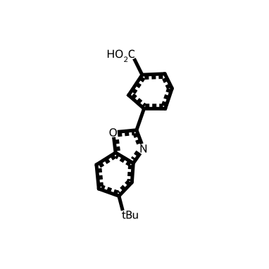 CC(C)(C)c1ccc2oc(-c3cccc(C(=O)O)c3)nc2c1